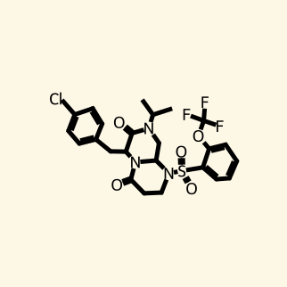 CC(C)N1CC2N(C(=O)CCN2S(=O)(=O)c2ccccc2OC(F)(F)F)C(Cc2ccc(Cl)cc2)C1=O